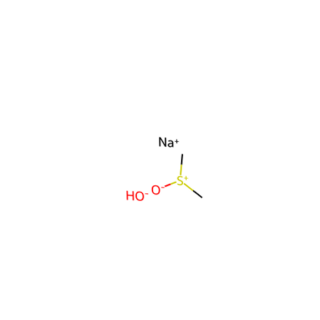 C[S+](C)[O-].[Na+].[OH-]